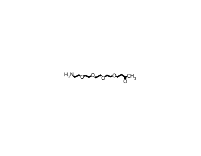 CC(=O)CCOCCOCCOCCOCCN